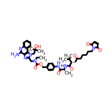 CCN(Cc1nc2c(N)nc3ccccc3c2n1CC(C)(C)O)C(=O)OCc1ccc(NC(=O)[C@H](C)NC(=O)[C@@H](CC(=O)CCCCCN2C(=O)C=CC2=O)C(C)C)cc1